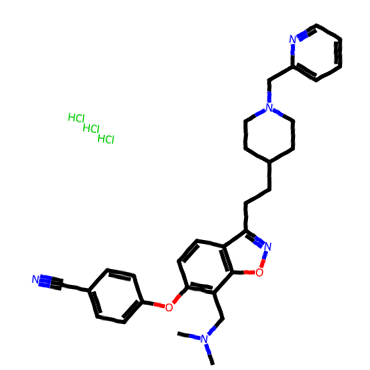 CN(C)Cc1c(Oc2ccc(C#N)cc2)ccc2c(CCC3CCN(Cc4ccccn4)CC3)noc12.Cl.Cl.Cl